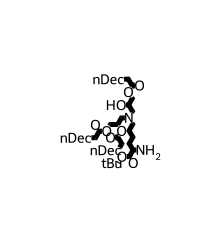 CCCCCCCCCCCC(=O)OCC(O)CN(CCCCC(N)C(=O)OC(C)(C)C)CC(COC(=O)CCCCCCCCCCC)OC(=O)CCCCCCCCCCC